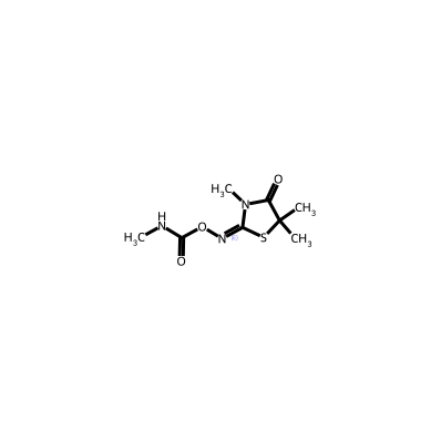 CNC(=O)O/N=C1/SC(C)(C)C(=O)N1C